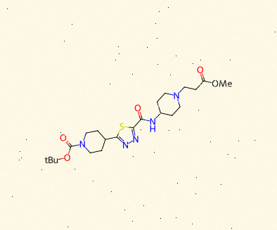 COC(=O)CCN1CCC(NC(=O)c2nnc(C3CCN(C(=O)OC(C)(C)C)CC3)s2)CC1